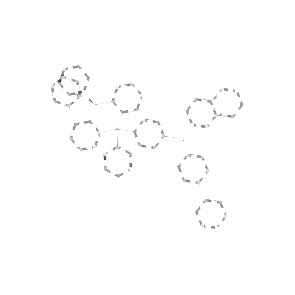 c1ccc(-c2ccc(N(c3ccc(C4(c5ccccc5)c5ccccc5C5(c6ccccc6)c6ccccc6-c6cccc4c65)cc3)c3ccc4ccccc4c3)cc2)cc1